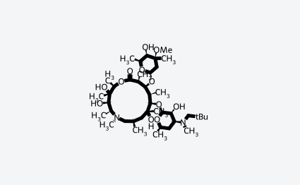 CO[C@]1(C)C[C@H](O[C@H]2[C@H](C)[C@@H](O[C@@H]3O[C@H](C)C[C@H](N(C)CC(C)(C)C)[C@H]3O)[C@](C)(O)C[C@@H](C)CN(C)[C@H](C)[C@@H](O)[C@](C)(O)[C@@H](C)OC(=O)[C@@H]2C)O[C@@H](C)[C@@H]1O